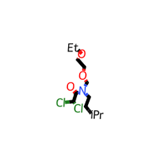 CCOCCOCN(CCC(C)C)C(=O)C(Cl)Cl